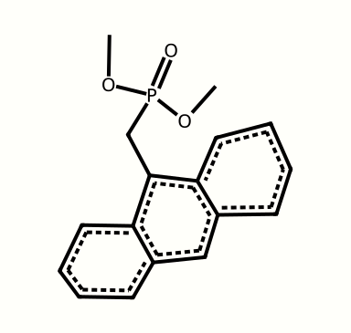 COP(=O)(Cc1c2ccccc2cc2ccccc12)OC